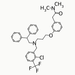 CN(C)C(=O)Cc1cccc(OCCCN(Cc2cccc(C(F)(F)F)c2Cl)CC(c2ccccc2)c2ccccc2)c1